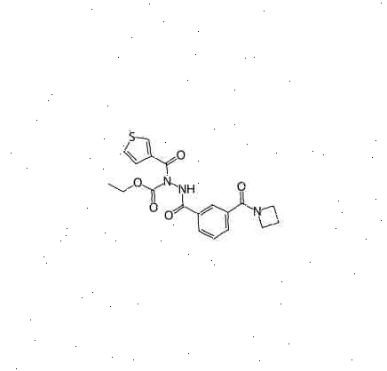 CCOC(=O)N(NC(=O)c1cccc(C(=O)N2CCC2)c1)C(=O)c1ccsc1